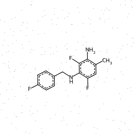 Cc1cc(F)c(NCc2ccc(F)cc2)c(F)c1N